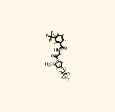 C[C@@H]1C[C@@H](OS(C)(=O)=O)CN1C(=O)CNC(=O)c1cccc(C(F)(F)F)c1